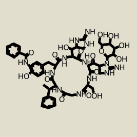 CC(c1ccccc1)C1NC(=O)CNC(=O)C(CO)NC(=O)C(C(O)C2CNC(=N)N2C2OC(CO)C(O)C(O)C2O)NC(=O)C(C(O)C2CNC(=N)N2)NC(=O)C(Cc2ccc(O)c(NC(=O)c3ccccc3)c2)NC1=O